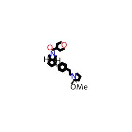 COC[C@@H]1CCCN1CCc1ccc([C@@H]2CC[C@@H]3CN(C(=O)C4CCOCC4)C[C@@H]32)cc1